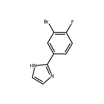 Fc1ccc(-c2ncc[nH]2)cc1Br